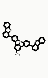 Cc1cc2c3cc(-c4cccc5c4sc4ccccc45)ccc3n3c4ccc(-c5cccc6c5sc5ccccc56)cc4c(c1)c23